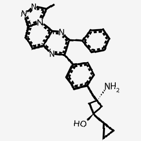 Cc1nnc2ccc3nc(-c4ccc([C@]5(N)C[C@@](O)(C6CC6)C5)cc4)c(-c4ccccc4)nc3n12